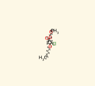 CCCCCCCOc1ccc(C(=O)OCCOC)cc1Cl